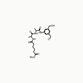 COC(=O)CCCCC(=O)NC(C)C(=O)NC(C)C(=O)Nc1cc(CO)cc(CCl)c1